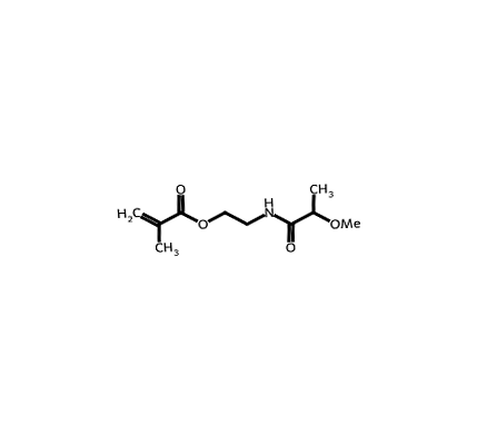 C=C(C)C(=O)OCCNC(=O)C(C)OC